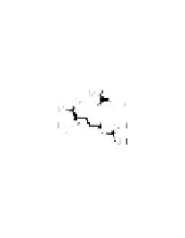 CC(=O)[O-].N=C(N)NCCCC(N)C(=O)O.[Na+]